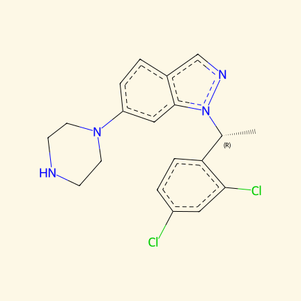 C[C@H](c1ccc(Cl)cc1Cl)n1ncc2ccc(N3CCNCC3)cc21